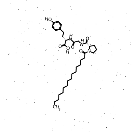 CCCCCCCCCCCCCCCC(=O)N1CCC[C@H]1C(=O)NCC(=O)N[C@@H](CCc1ccc(O)cc1)C(=O)O